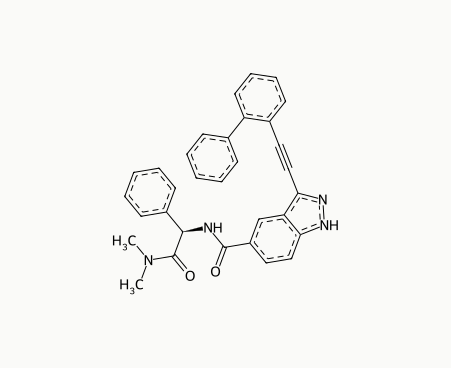 CN(C)C(=O)[C@H](NC(=O)c1ccc2[nH]nc(C#Cc3ccccc3-c3ccccc3)c2c1)c1ccccc1